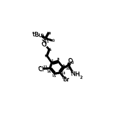 CC(C)(C)[Si](C)(C)OCCc1cc(C(N)=O)c(Br)cc1Cl